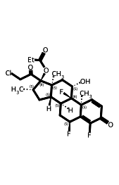 CCC(=O)O[C@]1(C(=O)CCl)[C@@H](C)C[C@H]2[C@@H]3C[C@H](F)C4=C(F)C(=O)C=C[C@]4(C)[C@@]3(F)[C@@H](O)C[C@@]21C